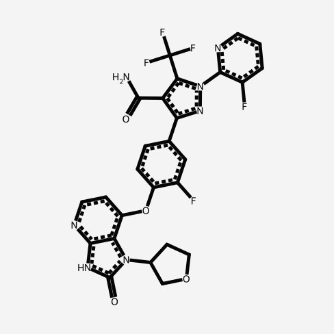 NC(=O)c1c(-c2ccc(Oc3ccnc4[nH]c(=O)n(C5CCOC5)c34)c(F)c2)nn(-c2ncccc2F)c1C(F)(F)F